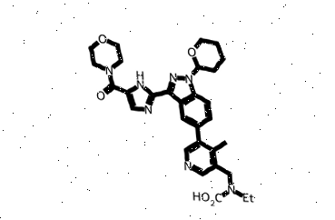 CCN(Cc1cncc(-c2ccc3c(c2)c(-c2ncc(C(=O)N4CCOCC4)[nH]2)nn3C2CCCCO2)c1C)C(=O)O